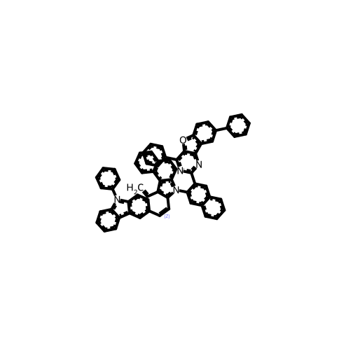 C=Cc1c(/C=C\c2ccc3c(c2)c2ccccc2n3-c2ccccc2)n(-c2cc3ccccc3cc2-c2nc(-c3ccccc3)c3oc4ccc(-c5ccccc5)cc4c3n2)c2ccc3ccccc3c12